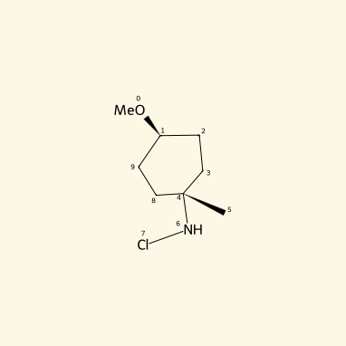 CO[C@H]1CC[C@](C)(NCl)CC1